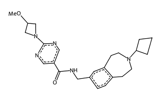 COC1CN(c2ncc(C(=O)NCc3ccc4c(c3)CCN(C3CCC3)CC4)cn2)C1